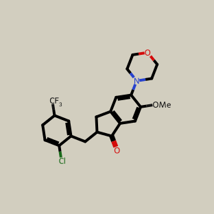 COc1cc2c(cc1N1CCOCC1)CC(CC1=CC(C(F)(F)F)CC=C1Cl)C2=O